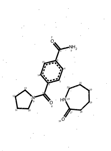 NC(=O)c1ccc(C(=O)N2CCCC2)cc1.O=C1CCCCCN1